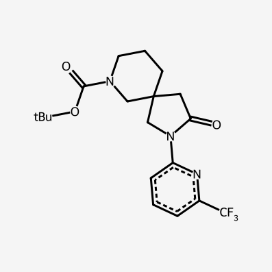 CC(C)(C)OC(=O)N1CCCC2(CC(=O)N(c3cccc(C(F)(F)F)n3)C2)C1